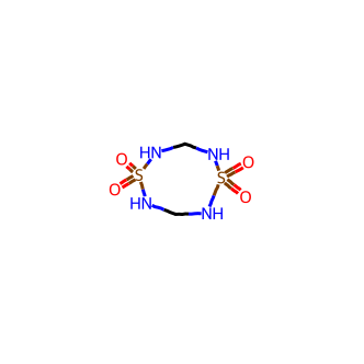 O=S1(=O)NCNS(=O)(=O)NCN1